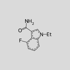 CCn1cc(C(N)=O)c2c(F)cccc21